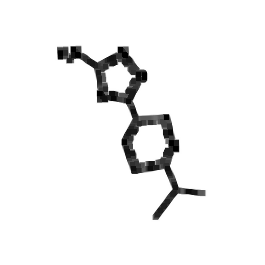 CC(C)c1ccc(-c2nc(N)no2)cn1